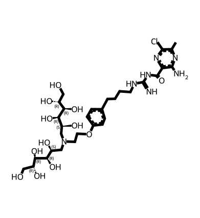 Cc1nc(N)c(C(=O)NC(=N)NCCCCc2ccc(OCCN(C[C@H](O)[C@@H](O)[C@H](O)[C@H](O)CO)C[C@H](O)[C@@H](O)[C@H](O)[C@H](O)CO)cc2)nc1Cl